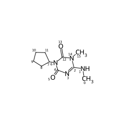 CNc1nc(=O)n(C2CCCC2)c(=O)n1C